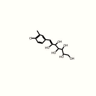 Cc1cc(C=C(O)C(O)C(O)C(O)C(O)CO)ccc1Cl